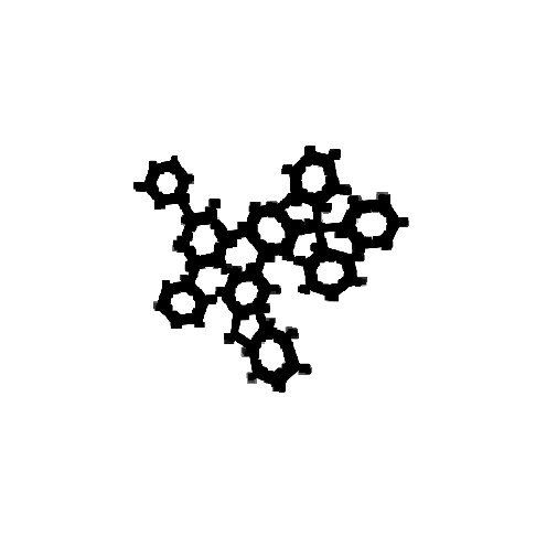 c1ccc(-c2nc(-c3ccccc3)nc(-c3cc4c(cc3-c3ccc5c(c3)-c3ccccc3C5)C(c3ccccc3)(c3ccccc3)c3ccccc3-4)n2)cc1